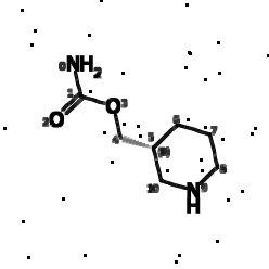 NC(=O)OC[C@@H]1CCCNC1